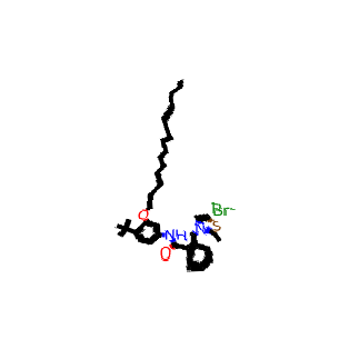 CCCCCCCCCCCCCCOc1cc(NC(=O)c2ccccc2C[n+]2ccsc2C)ccc1C(C)(C)C.[Br-]